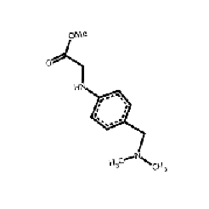 COC(=O)CNc1ccc(CN(C)C)cc1